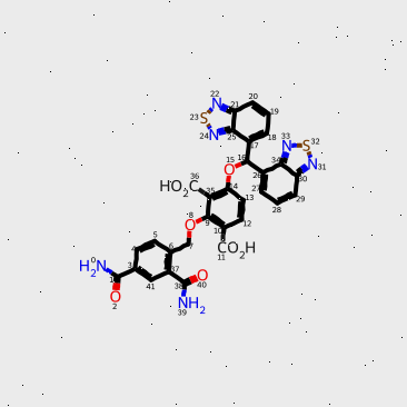 NC(=O)c1ccc(COc2c(C(=O)O)ccc(OC(c3cccc4nsnc34)c3cccc4nsnc34)c2C(=O)O)c(C(N)=O)c1